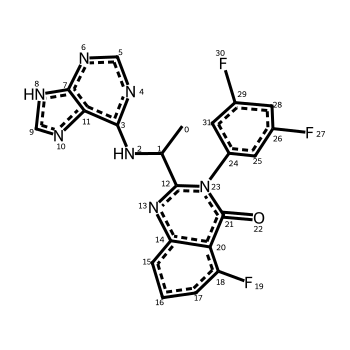 CC(Nc1ncnc2[nH]cnc12)c1nc2cccc(F)c2c(=O)n1-c1cc(F)cc(F)c1